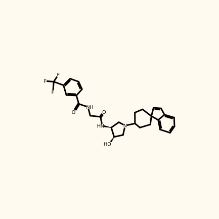 O=C(CNC(=O)c1cccc(C(F)(F)F)c1)N[C@H]1CN(C2CCC3(C=Cc4ccccc43)CC2)C[C@H]1O